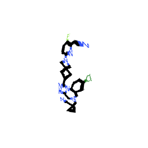 N#Cc1nc(N2CC3(CC(c4nnc5n4C4=C(C=C(Cl)CC4)CN(CC4(C#N)CC4)C5)C3)C2)ccc1F